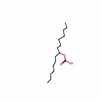 CCCCCCCC(CCCCCCC)OC(=O)O